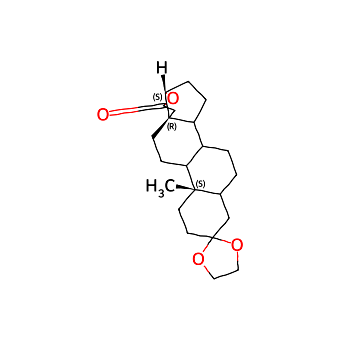 C[C@]12CCC3(CC1CCC1C2CC[C@]24CC(=O)O[C@H]2CCC14)OCCO3